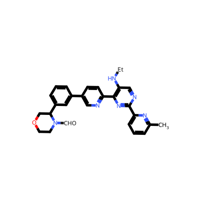 CCNc1cnc(-c2cccc(C)n2)nc1-c1ccc(-c2cccc(C3COCCN3C=O)c2)cn1